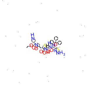 C=CCOC(=O)C(C1CCNCC1)N1CCC(=CC2=C(C(=O)O)N3C(=O)[C@@H](NC(=O)C(=NOC(c4ccccc4)(c4ccccc4)c4ccccc4)c4csc(N)n4)[C@H]3SC2)C1=O